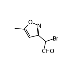 Cc1cc(C(Br)C=O)no1